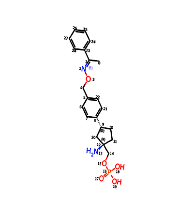 C/C(=N\OCc1ccc([C@@H]2CC[C@](N)(COP(=O)(O)O)C2)cc1)c1ccccc1